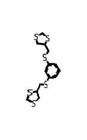 c1cc(SCC2CSCS2)cc(SCC2CSCS2)c1